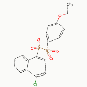 CCOc1ccc(S(=O)(=O)S(=O)(=O)c2ccc(Cl)c3ccccc23)cc1